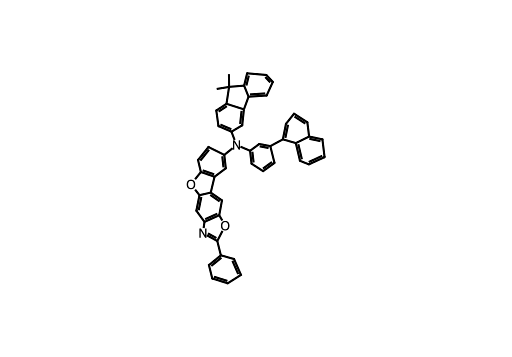 CC1(C)c2ccccc2-c2cc(N(c3cccc(-c4cccc5ccccc45)c3)c3ccc4oc5cc6nc(-c7ccccc7)oc6cc5c4c3)ccc21